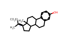 CCOC(=O)/C(C)=C1/CCC2C3CCc4cc(O)ccc4C3CCC12C